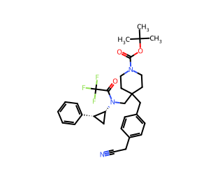 CC(C)(C)OC(=O)N1CCC(Cc2ccc(CC#N)cc2)(CN(C(=O)C(F)(F)F)[C@@H]2C[C@@H]2c2ccccc2)CC1